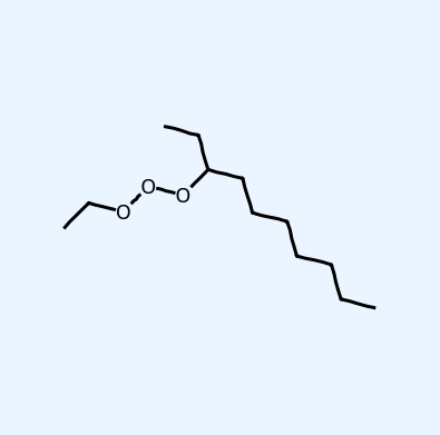 CCCCCCCC(CC)OOOCC